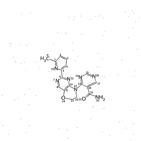 Cc1cccc(-c2ncc3c(n2)N(c2ncncc2C(N)=O)CCO3)n1